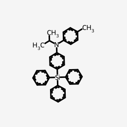 Cc1ccc(N(c2ccc([Si](c3ccccc3)(c3ccccc3)c3ccccc3)cc2)C(C)C)cc1